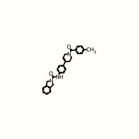 Cc1ccc(C(=O)N2CC=C(c3ccc(NC(=O)N4Cc5ccccc5C4)cc3)CC2)cc1